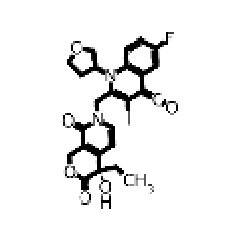 CC[C@@]1(O)C(=O)OCc2c1ccn(CC1=C(I)C(=C=O)c3cc(F)ccc3N1C1CCOC1)c2=O